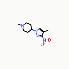 Cc1cn(C2CCN(C)CC2)nc1[N+](=O)[O-]